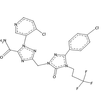 NC(=O)c1nc(Cn2nc(-c3ccc(Cl)cc3)n(CCC(F)(F)F)c2=O)nn1-c1cnccc1Cl